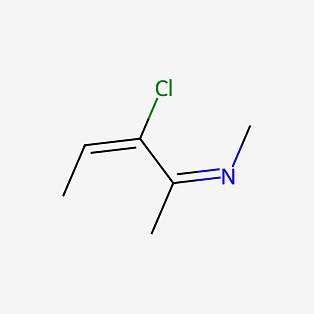 C/C=C(Cl)\C(C)=N/C